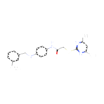 COc1cccc(CNc2ccc(NC(=O)CSc3nc(C)cc(C)n3)cc2)c1